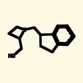 OCC1CCN1CC1CCc2ccccc21